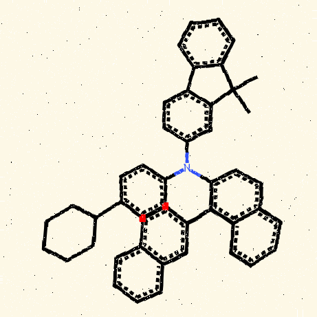 CC1(C)c2ccccc2-c2ccc(N(c3ccc(C4CCCCC4)cc3)c3ccc4ccccc4c3-c3ccc4ccccc4c3)cc21